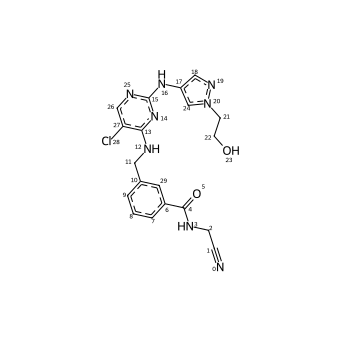 N#CCNC(=O)c1cccc(CNc2nc(Nc3cnn(CCO)c3)ncc2Cl)c1